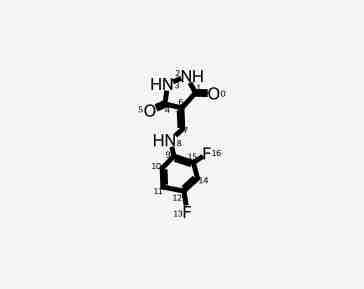 O=C1NNC(=O)C1=CNc1ccc(F)cc1F